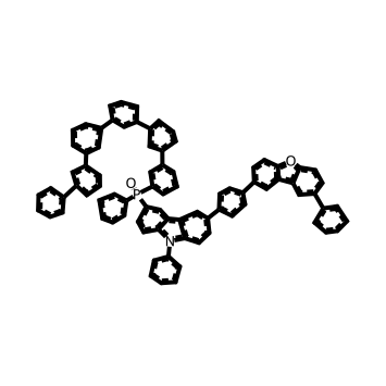 O=P(c1ccccc1)(c1cccc(-c2cccc(-c3cccc(-c4cccc(-c5cccc(-c6ccccc6)c5)c4)c3)c2)c1)c1ccc2c(c1)c1cc(-c3ccc(-c4ccc5oc6ccc(-c7ccccc7)cc6c5c4)cc3)ccc1n2-c1ccccc1